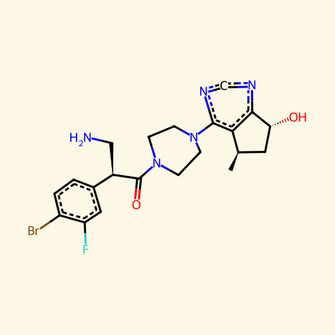 C[C@@H]1C[C@@H](O)c2ncnc(N3CCN(C(=O)[C@H](CN)c4ccc(Br)c(F)c4)CC3)c21